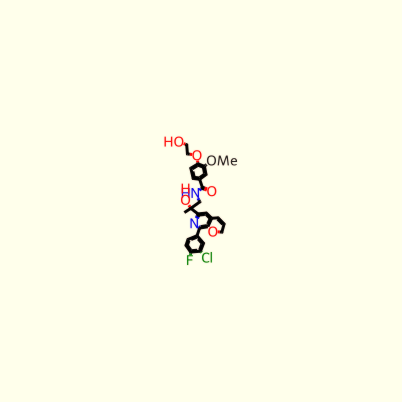 COc1cc(C(=O)NCC(C)(O)c2cc3c(c(-c4ccc(F)c(Cl)c4)n2)OCC=C3)ccc1OCCO